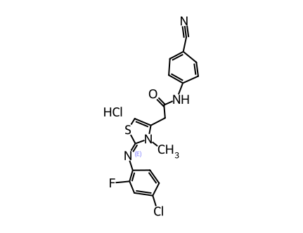 Cl.Cn1c(CC(=O)Nc2ccc(C#N)cc2)cs/c1=N/c1ccc(Cl)cc1F